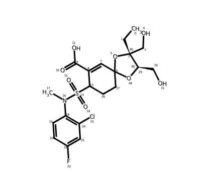 CC[C@]1(CO)OC2(C=C(C(=O)O)C(S(=O)(=O)N(C)c3ccc(F)cc3Cl)CC2)O[C@@H]1CO